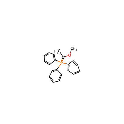 COC(C)=P(c1ccccc1)(c1ccccc1)c1ccccc1